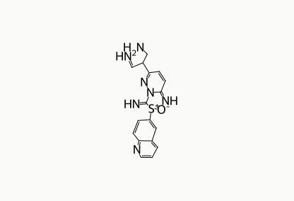 N=CC(CN)c1ccc(=N)n(C(=N)[S+]([O-])c2ccc3ncccc3c2)n1